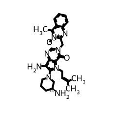 CC(C)=CCn1c(N2CCC[C@H](N)C2)c(N)c2ncn(Cc3nc4ccccc4c(C)[n+]3[O-])c(=O)c21